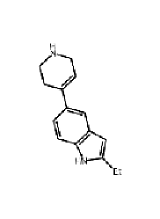 CCc1cc2cc(C3=CCNCC3)ccc2[nH]1